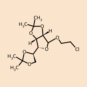 CC1(C)O[C@H]2[C@@H]([C@H]3COC(C)(C)O3)OC(OCCCl)[C@H]2O1